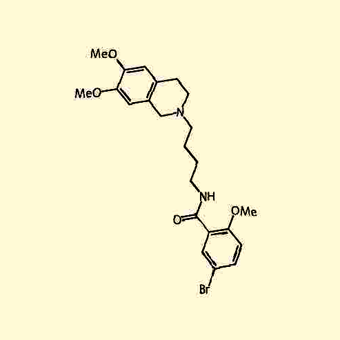 COc1cc2c(cc1OC)CN(CCCCNC(=O)c1cc(Br)ccc1OC)CC2